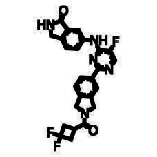 O=C1NCc2ccc(Nc3nc(-c4ccc5c(c4)CN(C(=O)C4CC(F)(F)C4)C5)ncc3F)cc21